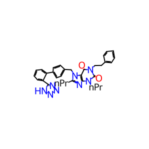 CCCc1nc2c(c(=O)n(CCc3ccccc3)c(=O)n2CCC)n1Cc1ccc(-c2ccccc2-c2nnn[nH]2)cc1